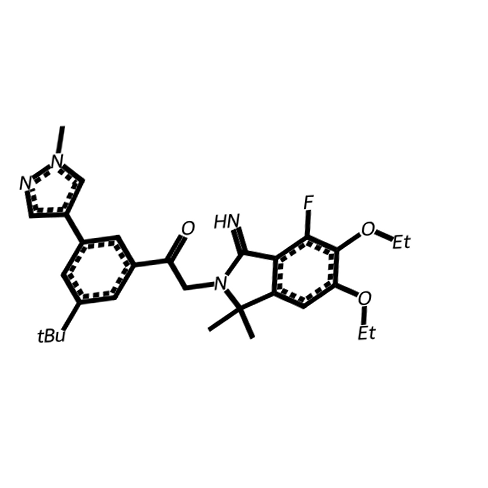 CCOc1cc2c(c(F)c1OCC)C(=N)N(CC(=O)c1cc(-c3cnn(C)c3)cc(C(C)(C)C)c1)C2(C)C